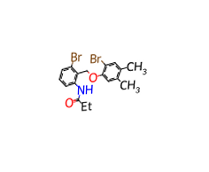 CCC(=O)Nc1cccc(Br)c1COc1cc(C)c(C)cc1Br